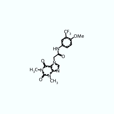 COc1ccc(NC(=O)Cn2cnc3c2c(=O)n(C)c(=O)n3C)cc1C(F)(F)F